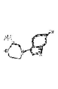 C[C@@H]1CN(c2csc3cc(C#N)ccc23)CCN1